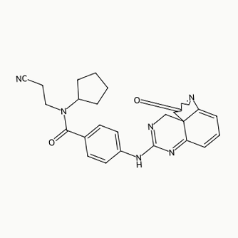 N#CCCN(C(=O)c1ccc(NC2=NCC34CC(=O)CC=NC3=CC=CC4=N2)cc1)C1CCCC1